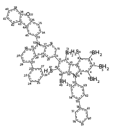 Bc1c(B)c(B)c2c(c1B)c1c(B)c(-c3ccc4c(c3)c3c(-c5ccccc5)cccc3n4-c3ccc4oc5ccccc5c4c3)c(B)c(B)c1n2-c1ccc(-c2ccccc2)cc1